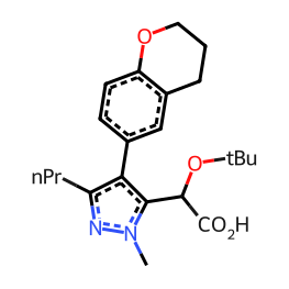 CCCc1nn(C)c(C(OC(C)(C)C)C(=O)O)c1-c1ccc2c(c1)CCCO2